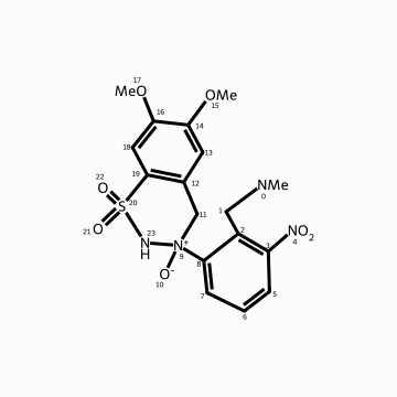 CNCc1c([N+](=O)[O-])cccc1[N+]1([O-])Cc2cc(OC)c(OC)cc2S(=O)(=O)N1